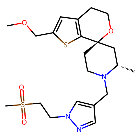 COCc1cc2c(s1)[C@]1(CCN(Cc3cnn(CCS(C)(=O)=O)c3)[C@@H](C)C1)OCC2